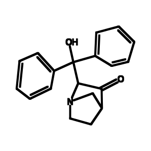 O=C1C2CCN(C2)C1C(O)(c1ccccc1)c1ccccc1